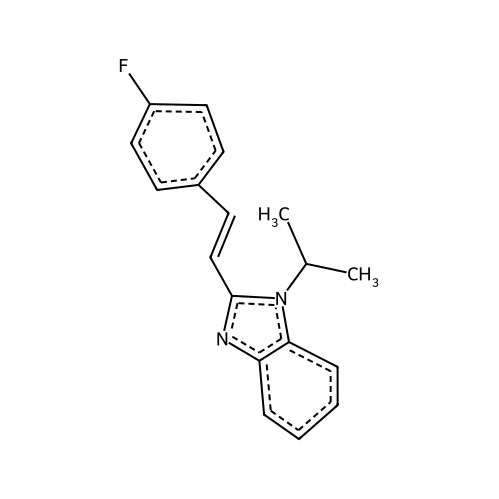 CC(C)n1c(/C=C/c2ccc(F)cc2)nc2ccccc21